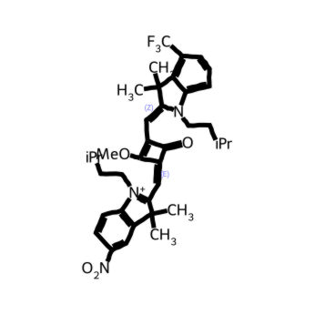 COC1=C(/C=C2\N(CCC(C)C)c3cccc(C(F)(F)F)c3C2(C)C)C(=O)/C1=C/C1=[N+](CCC(C)C)c2ccc([N+](=O)[O-])cc2C1(C)C